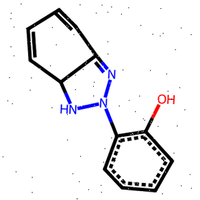 Oc1ccccc1N1N=C2C=CC=CC2N1